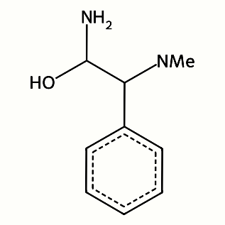 CNC(c1ccccc1)C(N)O